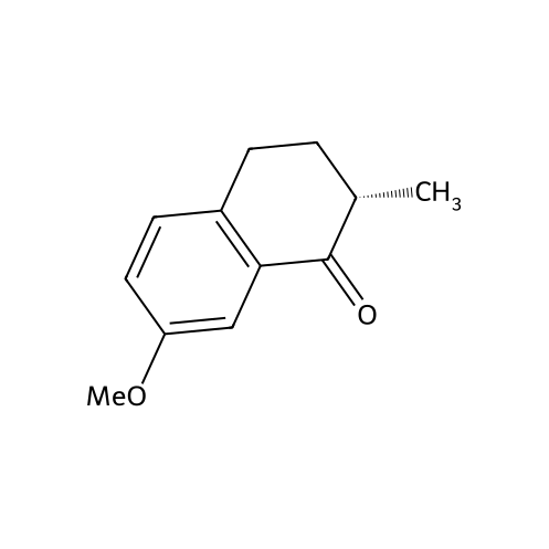 COc1ccc2c(c1)C(=O)[C@@H](C)CC2